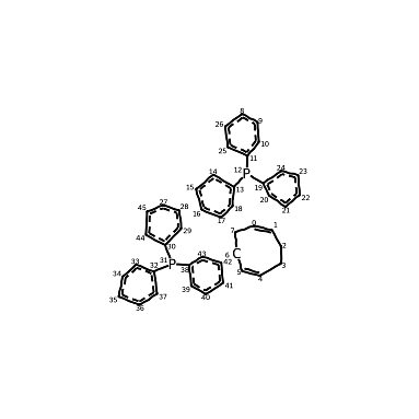 C1=CCCC=CCC1.c1ccc(P(c2ccccc2)c2ccccc2)cc1.c1ccc(P(c2ccccc2)c2ccccc2)cc1